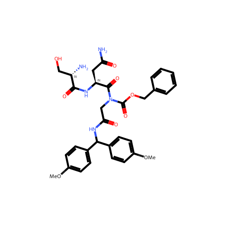 COc1ccc(C(NC(=O)CN(C(=O)OCc2ccccc2)C(=O)[C@H](CC(N)=O)NC(=O)[C@@H](N)CO)c2ccc(OC)cc2)cc1